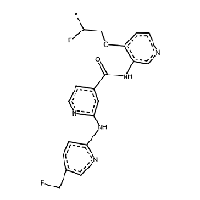 O=C(Nc1cnccc1OCC(F)F)c1ccnc(Nc2ccc(CF)cn2)c1